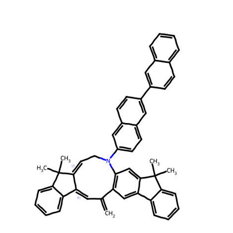 C=C1/C=C2\C(=C/CN(c3ccc4cc(-c5ccc6ccccc6c5)ccc4c3)c3cc4c(cc31)-c1ccccc1C4(C)C)C(C)(C)c1ccccc12